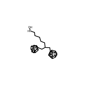 ONCCCCCC(C[C]12[CH]3[CH]4[CH]5[CH]1[Fe]45321678[CH]2[CH]1[CH]6[CH]7[CH]28)C[C]12[CH]3[CH]4[CH]5[CH]1[Fe]45321678[CH]2[CH]1[CH]6[CH]7[CH]28